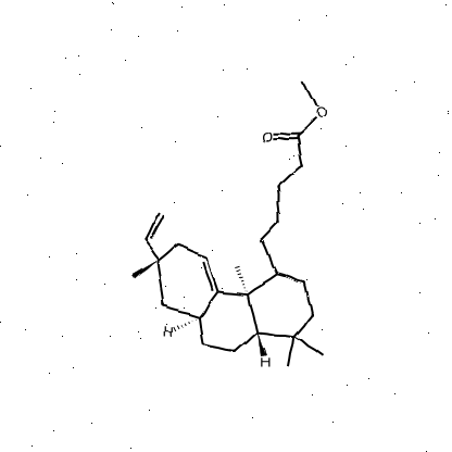 C=C[C@]1(C)CC=C2[C@@H](CC[C@H]3C(C)(C)CCC(CCCCC(=O)OC)[C@]23C)C1